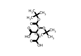 CC(C)(C)OC(=O)N(OC(C)(C)C)[C@@H](CC(=O)O)C(=O)O